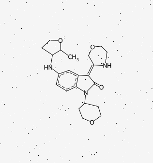 CC1OCCC1Nc1ccc2c(c1)/C(=C1\COCCN1)C(=O)N2C1CCOCC1